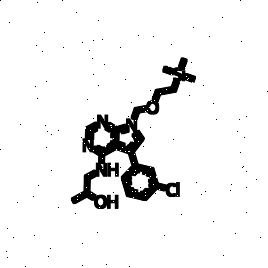 CC(O)CNc1ncnc2c1c(-c1cccc(Cl)c1)cn2COCC[Si](C)(C)C